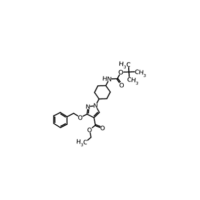 CCOC(=O)c1cn(C2CCC(NC(=O)OC(C)(C)C)CC2)nc1OCc1ccccc1